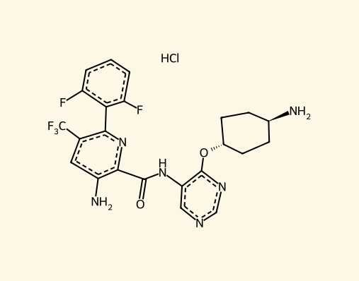 Cl.Nc1cc(C(F)(F)F)c(-c2c(F)cccc2F)nc1C(=O)Nc1cncnc1O[C@H]1CC[C@H](N)CC1